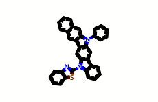 c1ccc(-n2c3cc4ccccc4cc3c3cc4c(cc32)c2ccccc2n4-c2nc3ccccc3s2)cc1